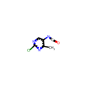 Cc1nc(Cl)ncc1N=C=O